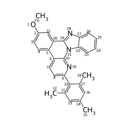 COc1ccc2c3ccc(-c4c(C)cc(C)cc4C)nc3n3c4ccccc4nc3c2c1